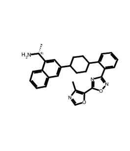 Cc1ncoc1-c1nc(-c2ccccc2C2CCC(c3cc([C@@H](C)N)c4ccccc4c3)CC2)no1